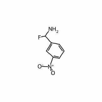 NC(F)c1cccc([N+](=O)[O-])c1